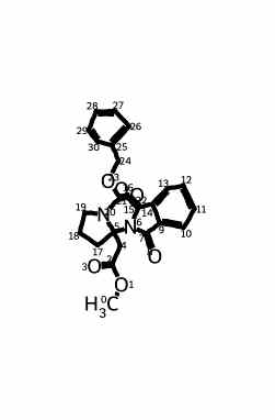 COC(=O)CC1(N2C(=O)c3ccccc3C2=O)CCCN1C(=O)OCc1ccccc1